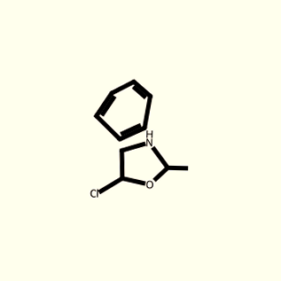 CC1NCC(Cl)O1.c1ccccc1